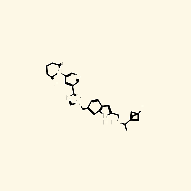 CC(NCc1cc2ccc(Cn3cnc(-c4cncc(N5C(=O)CCCC5=O)c4)n3)cc2[nH]1)C12CC(F)(C1)C2